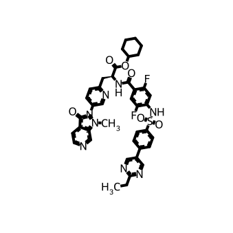 CCc1ncc(-c2ccc(S(=O)(=O)Nc3cc(F)c(C(=O)N[C@@H](Cc4ccc(-n5c(=O)c6ccncc6n5C)cn4)C(=O)OC4CCCCC4)cc3F)cc2)cn1